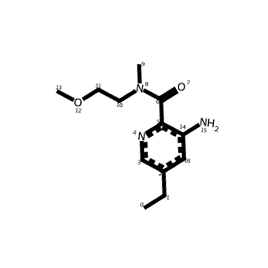 CCc1cnc(C(=O)N(C)CCOC)c(N)c1